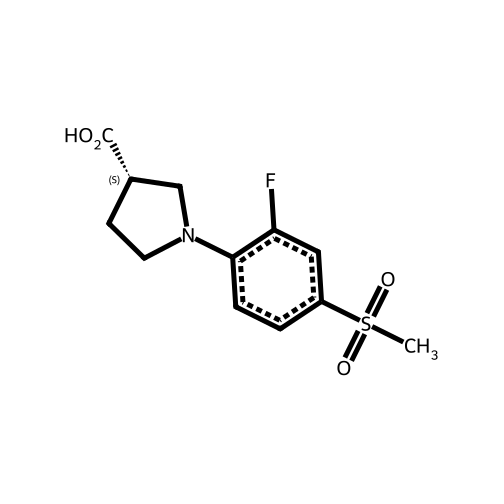 CS(=O)(=O)c1ccc(N2CC[C@H](C(=O)O)C2)c(F)c1